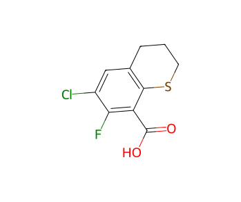 O=C(O)c1c(F)c(Cl)cc2c1SCCC2